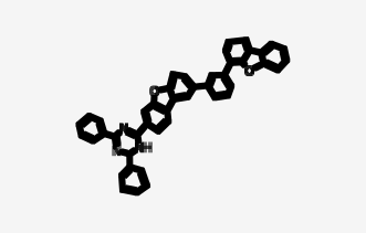 c1ccc(C2=NC(c3ccccc3)NC(c3ccc4c(c3)oc3ccc(-c5cccc(-c6cccc7c6oc6ccccc67)c5)cc34)=N2)cc1